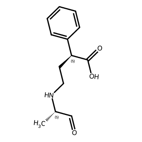 C[C@@H](C=O)NCC[C@H](C(=O)O)c1ccccc1